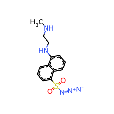 CNCCNc1cccc2c(S(=O)(=O)N=[N+]=[N-])cccc12